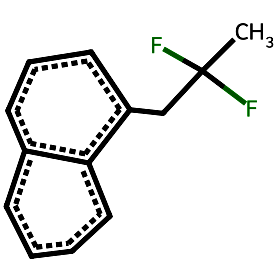 CC(F)(F)Cc1cccc2ccccc12